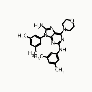 Cc1cc(C)cc(Nc2nc(N3CCOCC3)c3nc(N)n(-c4cc(C)cc(C)c4)c3n2)c1